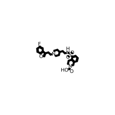 O=C(O)N1CCc2c(cccc2S(=O)(=O)NCCC2CCN(CCc3coc4ccc(F)cc34)CC2)C1